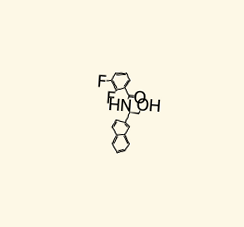 O=C(N[C@@H](CO)c1ccc2ccccc2c1)c1cccc(F)c1F